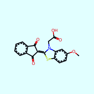 COc1ccc2c(c1)N(CC(=O)O)C(=C1C(=O)c3ccccc3C1=O)S2